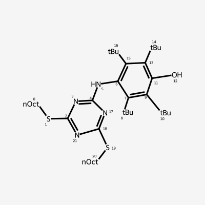 CCCCCCCCSc1nc(Nc2c(C(C)(C)C)c(C(C)(C)C)c(O)c(C(C)(C)C)c2C(C)(C)C)nc(SCCCCCCCC)n1